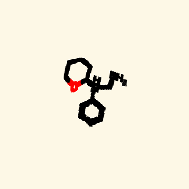 BC[SiH](c1ccccc1)C1CCCCO1